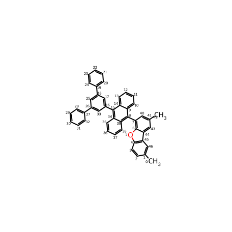 Cc1ccc2oc3c(-c4c5ccccc5c(-c5cc(-c6ccccc6)cc(-c6ccccc6)c5)c5ccccc45)cc(C)cc3c2c1